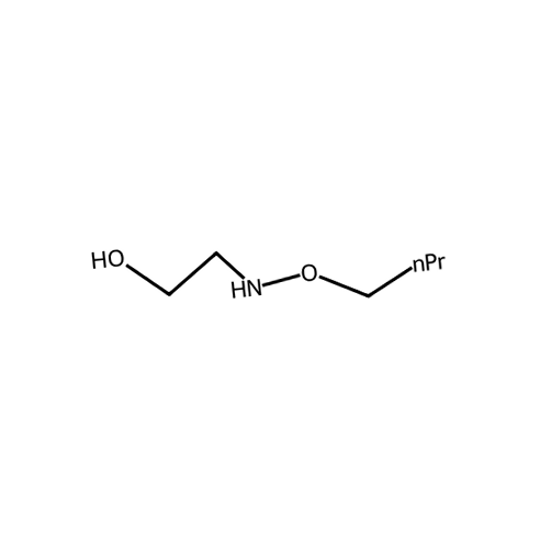 CCCCONCCO